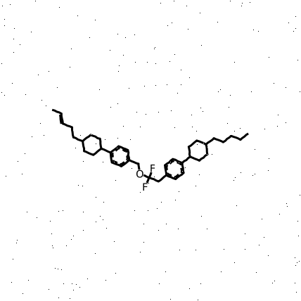 CC=CCCC1CCC(c2ccc(COC(F)(F)Cc3ccc(C4CCC(CCCCC)CC4)cc3)cc2)CC1